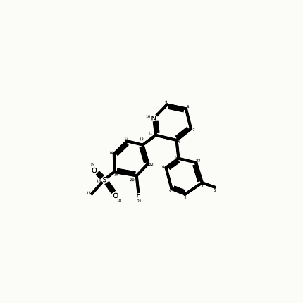 Cc1cccc(-c2cccnc2-c2ccc(S(C)(=O)=O)c(F)c2)c1